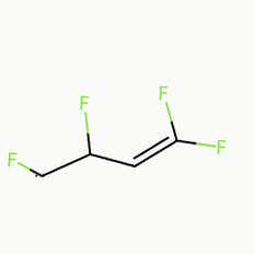 F[CH]C(F)C=C(F)F